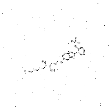 C=COCCCC(O)C(O)CCCOc1ccc2cc(-c3cnccc3OC(F)(F)F)oc2c1